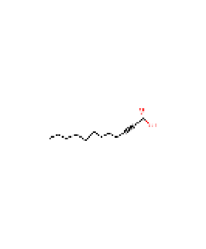 CCCCCCCCCC#CC(O)O